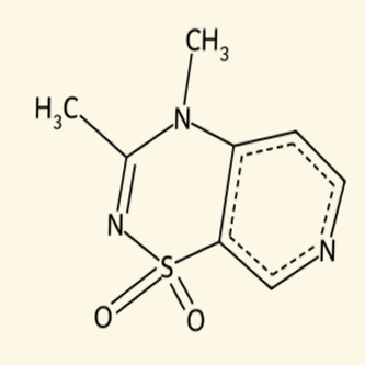 CC1=NS(=O)(=O)c2cnccc2N1C